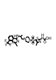 Cc1nc(NC(C)CN2CCN(S(=O)(=O)c3sc(NC(=O)O)nc3C)CC2)c2cccc(C(F)(F)F)c2n1